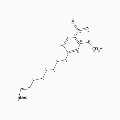 CCCCCCCCCCC=CCCCCCCc1ccc(I(=O)=O)c(CC(=O)O)c1